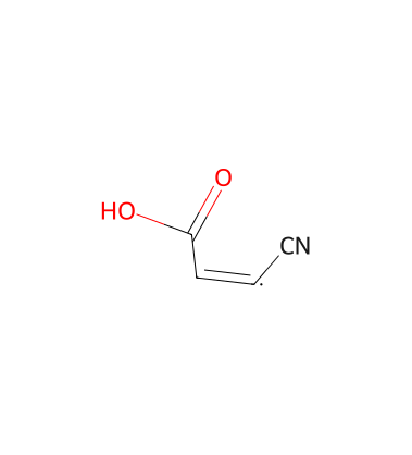 N#C/[C]=C\C(=O)O